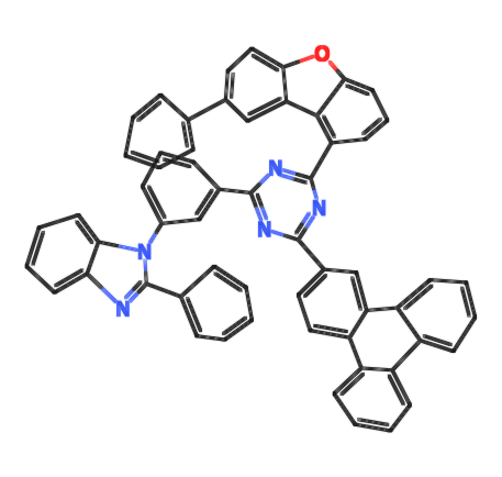 c1ccc(-c2ccc3oc4cccc(-c5nc(-c6cccc(-n7c(-c8ccccc8)nc8ccccc87)c6)nc(-c6ccc7c8ccccc8c8ccccc8c7c6)n5)c4c3c2)cc1